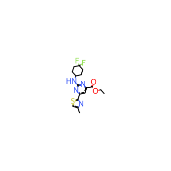 CCOC(=O)c1cc(-c2nc(C)cs2)nc(NC2CCC(F)(F)CC2)n1